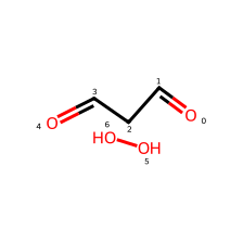 O=CCC=O.OO